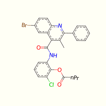 CCCC(=O)Oc1c(Cl)cccc1NC(=O)c1c(C)c(-c2ccccc2)nc2ccc(Br)cc12